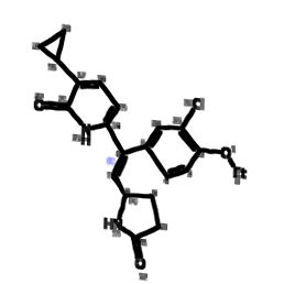 CCOc1ccc(/C(=C\[C@H]2CCC(=O)N2)c2ccc(C3CC3)c(=O)[nH]2)cc1Cl